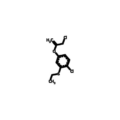 C=C(CCl)Oc1ccc(Cl)c(SCC)c1